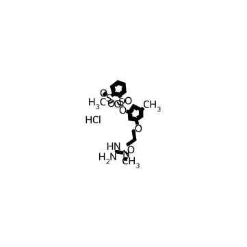 Cc1cc(OCCCON(C)C(=N)N)cc(OS(=O)(=O)c2ccccc2S(C)(=O)=O)c1.Cl